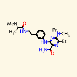 CCc1nc(C(N)=O)c(Nc2cccc(CCNC(=O)[C@H](C)NC)c2)nc1N(C)C(C)C